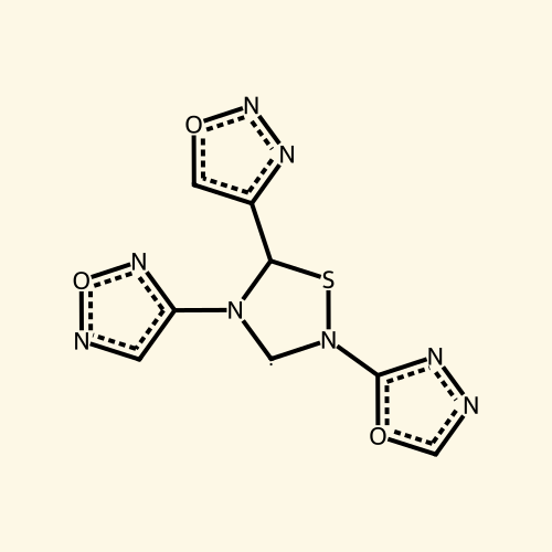 [CH]1N(c2nnco2)SC(c2conn2)N1c1cnon1